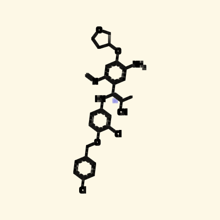 C=Nc1cc(OC2CCOC2)c(N)cc1/C(Nc1ccc(OCc2ccc(Cl)cc2)c(Cl)c1)=C(\C)C#N